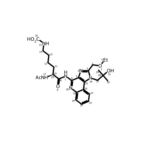 CCOCc1nc2c(NC(=O)[C@H](CCCCNC(=O)O)NC(C)=O)nc3ccccc3c2n1CC(C)(C)O